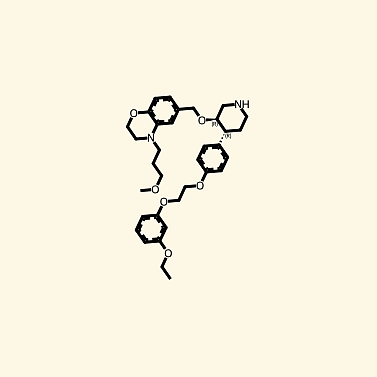 CCOc1cccc(OCCOc2ccc([C@H]3CCNC[C@@H]3OCc3ccc4c(c3)N(CCCOC)CCO4)cc2)c1